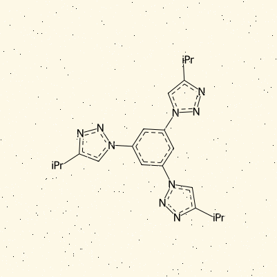 CC(C)c1cn(-c2cc(-n3cc(C(C)C)nn3)cc(-n3cc(C(C)C)nn3)c2)nn1